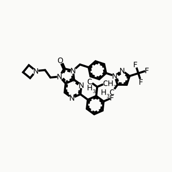 Cc1cc(C(F)(F)F)nn1-c1ccc(Cn2c(=O)n(CCN3CCC3)c3cnc(-c4cccc(F)c4C(C)C)nc32)cc1